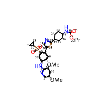 COc1cnc(Nc2ccc(-c3cnc(C4CCC(NC(=O)OC(C)C)CC4)s3)c(S(=O)(=O)C3CC3)c2)c(OC)c1